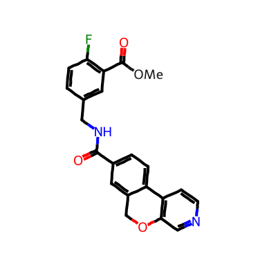 COC(=O)c1cc(CNC(=O)c2ccc3c(c2)COc2cnccc2-3)ccc1F